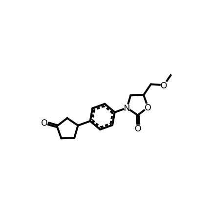 COCC1CN(c2ccc(C3CCC(=O)C3)cc2)C(=O)O1